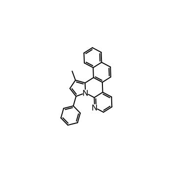 Cc1cc(-c2ccccc2)n2c3ncccc3c3ccc4ccccc4c3c12